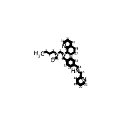 CCCCN(C=O)CN(Cc1ccc(CNCc2ccccn2)cc1)C1CCCc2cccnc21